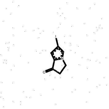 O=C1CCn2cc(I)cc21